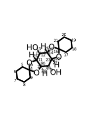 O[C@@H]1[C@H]2OC3(CCCCC3)O[C@@H]2[C@@H](O)[C@@H]2OC3(CCCCC3)O[C@H]12